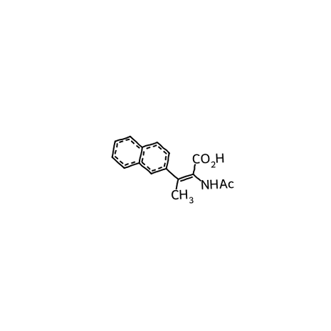 CC(=O)N/C(C(=O)O)=C(\C)c1ccc2ccccc2c1